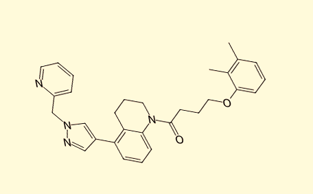 Cc1cccc(OCCCC(=O)N2CCCc3c(-c4cnn(Cc5ccccn5)c4)cccc32)c1C